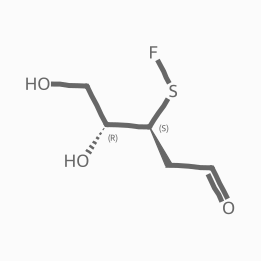 O=CC[C@H](SF)[C@H](O)CO